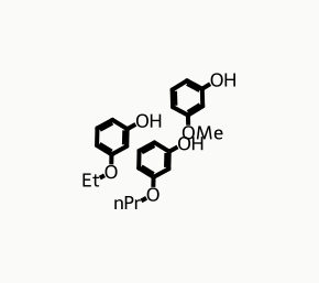 CCCOc1cccc(O)c1.CCOc1cccc(O)c1.COc1cccc(O)c1